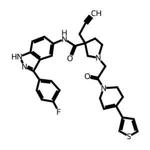 C#CCC1(C(=O)Nc2ccc3[nH]nc(-c4ccc(F)cc4)c3c2)CCN(CC(=O)N2CC=C(c3ccsc3)CC2)C1